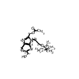 CC(=O)OCc1nc2cnc(CO)nc2n1CCO[Si](C)(C)C(C)(C)C